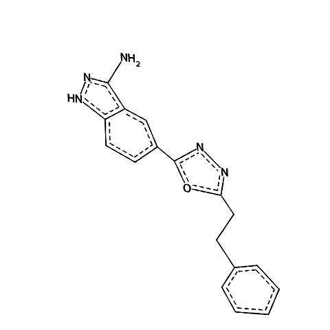 Nc1n[nH]c2ccc(-c3nnc(CCc4ccccc4)o3)cc12